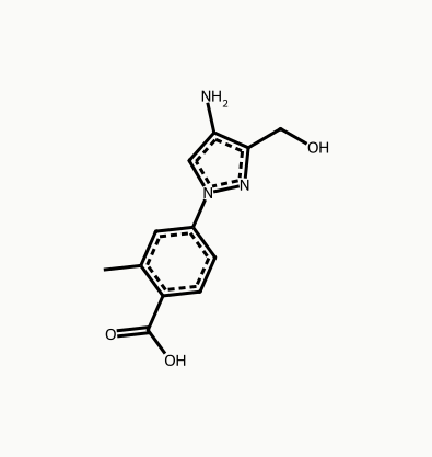 Cc1cc(-n2cc(N)c(CO)n2)ccc1C(=O)O